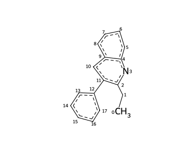 CCc1nc2ccccc2cc1-c1ccccc1